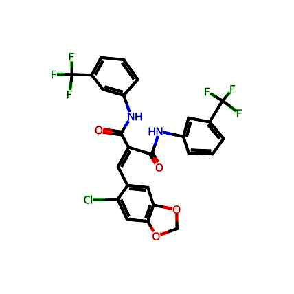 O=C(Nc1cccc(C(F)(F)F)c1)C(=Cc1cc2c(cc1Cl)OCO2)C(=O)Nc1cccc(C(F)(F)F)c1